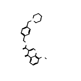 COc1cccc2c(=O)c(C(=O)NCc3ccc(CN4CCCCC4)cc3)c[nH]c12